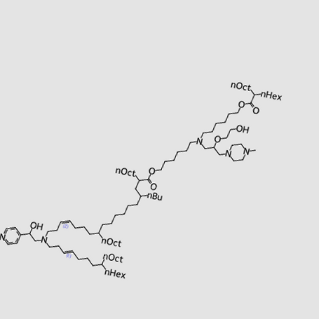 CCCCCCCCC(CCC/C=C\CCN(CC/C=C/CCCC(CCCCCC)CCCCCCCC)CC(O)c1ccncc1)CCCCCCC(CCCC)CC(CCCCCCCC)C(=O)OCCCCCCN(CCCCCCOC(=O)C(CCCCCC)CCCCCCCC)CC(CN1CCN(C)CC1)OCCO